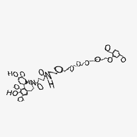 COc1cc2c(c(OC)c1O)-c1ccc(O)c(=O)cc1C(NC(=O)CCC(=O)NCCOCCOCCOCCOCCOCCOc1cc(C=O)ccc1C=O)CC2